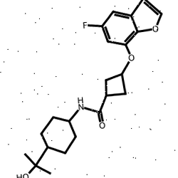 CC(C)(O)C1CCC(NC(=O)C2CC(Oc3cc(F)cc4ccoc34)C2)CC1